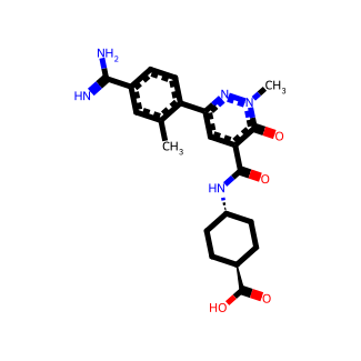 Cc1cc(C(=N)N)ccc1-c1cc(C(=O)N[C@H]2CC[C@H](C(=O)O)CC2)c(=O)n(C)n1